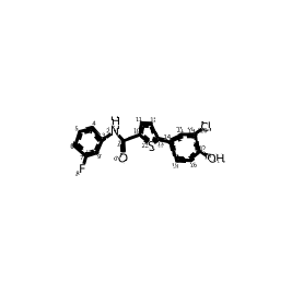 O=C(Nc1cccc(F)c1)c1ccc(-c2ccc(O)c(Cl)c2)s1